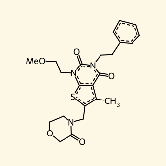 COCCn1c(=O)n(CCc2ccccc2)c(=O)c2c(C)c(CN3CCOCC3=O)sc21